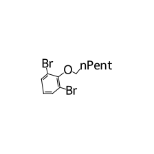 CCCCCCOc1c(Br)cccc1Br